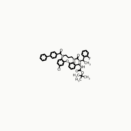 CC(NC(=O)NCCCN(C(=O)c1ccc(-c2ccccc2)cc1)c1ccc(Cl)cc1Oc1cccc(CNC(=O)OC(C)(C)C)c1)c1ccccc1F